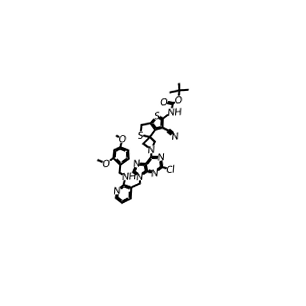 COc1ccc(CNc2ncccc2Cn2cnc3c(N4CC5(C4)SCc4sc(NC(=O)OC(C)(C)C)c(C#N)c45)nc(Cl)nc32)c(OC)c1